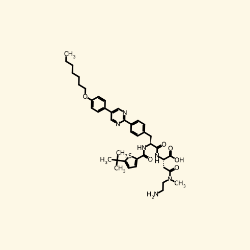 CCCCCCCOc1ccc(-c2cnc(-c3ccc(C[C@H](NC(=O)c4ccc(C(C)(C)C)s4)C(=O)N[C@@H](CC(=O)N(C)CCN)C(=O)O)cc3)nc2)cc1